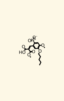 CCCCCOc1cc(C=C(C(=O)O)C(=O)OC)c([N+](=O)[O-])cc1OC